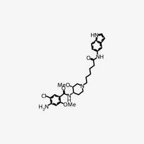 COc1cc(N)c(Cl)cc1C(=O)N[C@@H]1CCN(CCCCCC(=O)Nc2ccc3[nH]ccc3c2)C[C@@H]1OC